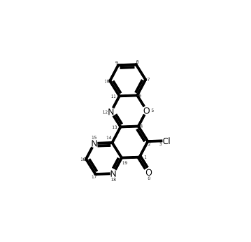 O=c1c(Cl)c2oc3ccccc3nc-2c2nccnc12